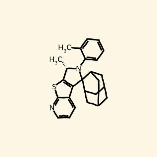 Cc1ccccc1N1[C@@H](C)c2sc3ncccc3c2C12C1CC3CC(C1)CC2C3